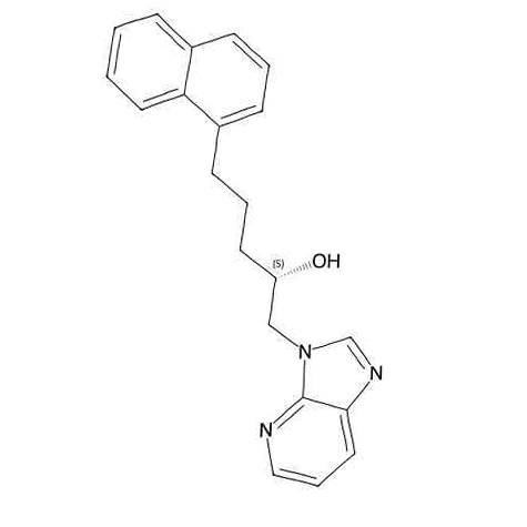 O[C@@H](CCCc1cccc2ccccc12)Cn1cnc2cccnc21